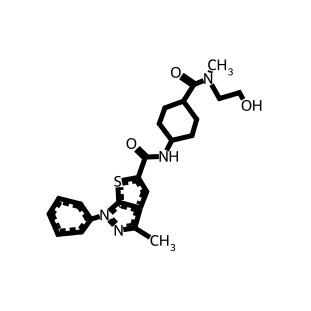 Cc1nn(-c2ccccc2)c2sc(C(=O)NC3CCC(C(=O)N(C)CCO)CC3)cc12